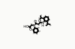 CC(C)c1cccc(C(C)C)c1NC(=O)CC(=O)N(CC(=O)O)c1ccccc1